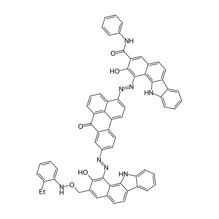 CCc1ccccc1NOCc1cc2ccc3c4ccccc4[nH]c3c2c(N=Nc2ccc3c(c2)C(=O)c2cccc4c(N=Nc5c(O)c(C(=O)Nc6ccccc6)cc6ccc7c8ccccc8[nH]c7c56)ccc-3c24)c1O